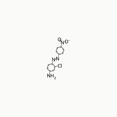 Nc1ccc(/N=N/c2ccc([N+](=O)[O-])cc2)c(Cl)c1